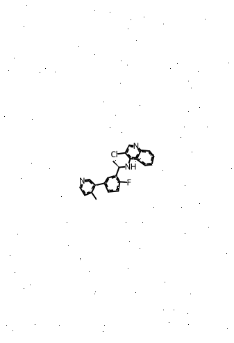 Cc1ccncc1-c1ccc(F)c([C@@H](C)Nc2c(Cl)cnc3ccccc23)c1